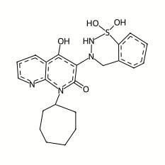 O=c1c(N2Cc3ccccc3S(O)(O)N2)c(O)c2cccnc2n1C1CCCCCC1